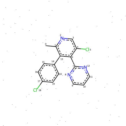 Cc1ncc(Cl)c(-c2ncccn2)c1-c1ccc(Cl)cc1